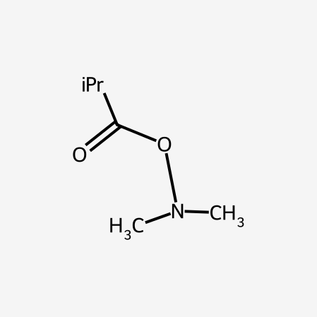 CC(C)C(=O)ON(C)C